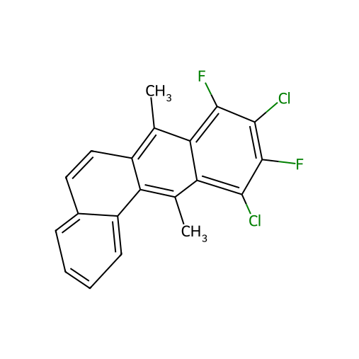 Cc1c2ccc3ccccc3c2c(C)c2c(Cl)c(F)c(Cl)c(F)c12